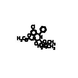 COC(=O)CN1C(=O)[C@H](C(C)OC(C)(C)C)N=C(c2ccccc2)c2cc(Cl)ccc21